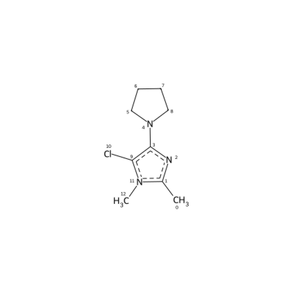 Cc1nc(N2CCCC2)c(Cl)n1C